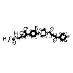 CC(=O)NCC1C=C(c2ccc(N3CCN(C(=O)COC(=O)c4cccnc4)CC3)c(F)c2)C(=O)O1